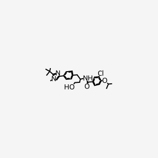 CC(C)Oc1ccc(C(=O)NC(CCO)Cc2ccc(-c3cn(C)c(C(C)(C)C)n3)cc2)cc1Cl